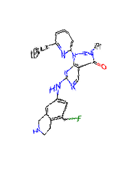 CC(C)n1c(=O)c2cnc(Nc3cc(F)c4c(c3)CNCC4)nc2n1-c1cccc(C(C)(C)C)n1